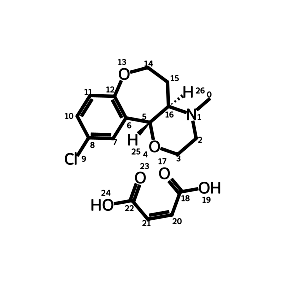 CN1CCO[C@@H]2c3cc(Cl)ccc3OCC[C@H]21.O=C(O)/C=C\C(=O)O